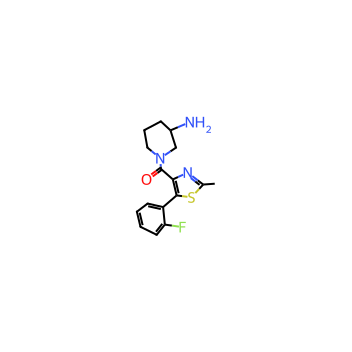 Cc1nc(C(=O)N2CCCC(N)C2)c(-c2ccccc2F)s1